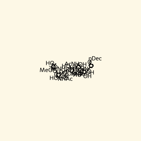 CCCCCCCCCCCOc1cccc(C(=O)N[C@@H]2C(O[C@H]3C(O)C(NC(C)=O)C(OC4C(CO)O[C@@H](O[C@H]5C(O)C(NC(C)=O)C(OC6C(CO[C@@H]7OC(C)C(O)[C@H](C)[C@H]7OC)OC(O)C(NC(C)=O)[C@H]6O)O[C@H]5CO)[C@@H](NC(C)=O)[C@H]4O)O[C@H]3CO)OC(CO)[C@@H](O)[C@@H]2O)c1